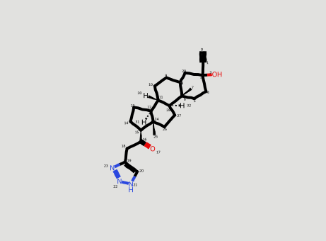 C#CC1(O)CC[C@@]2(C)C(CC[C@H]3[C@@H]4CC[C@H](C(=O)Cc5c[nH]nn5)[C@@]4(C)CC[C@@H]32)C1